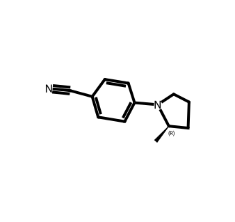 C[C@@H]1CCCN1c1ccc(C#N)cc1